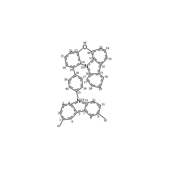 Cc1ccc2c(c1)c1cc(C)ccc1n2-c1ccc(-c2cccc3c2-n2c4ccccc4c4cccc(c42)O3)cc1